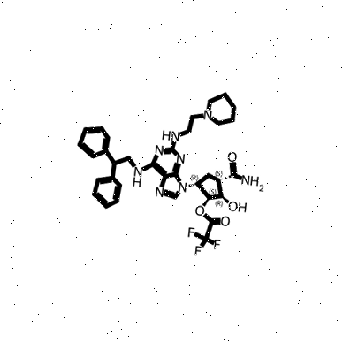 NC(=O)[C@H]1C[C@@H](n2cnc3c(NCC(c4ccccc4)c4ccccc4)nc(NCCN4CCCCC4)nc32)[C@H](OC(=O)C(F)(F)F)[C@@H]1O